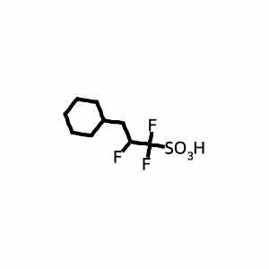 O=S(=O)(O)C(F)(F)C(F)CC1CCCCC1